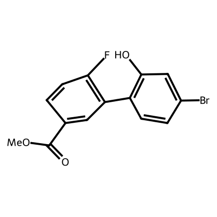 COC(=O)c1ccc(F)c(-c2ccc(Br)cc2O)c1